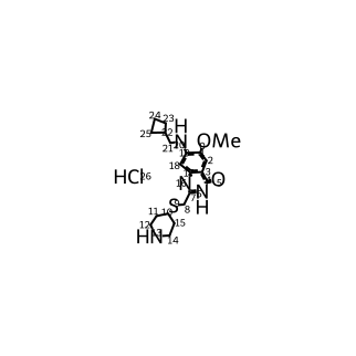 COc1cc2c(=O)[nH]c(CSC3CCNCC3)nc2cc1NCC1CCC1.Cl